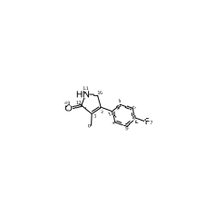 CC1=C(c2ccc(F)cc2)CNC1=O